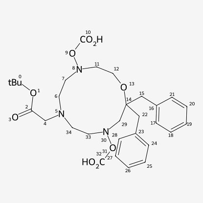 CC(C)(C)OC(=O)CN1CCN(OC(=O)O)CCOC(Cc2ccccc2)(Cc2ccccc2)CN(OC(=O)O)CC1